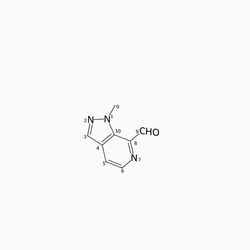 Cn1ncc2ccnc(C=O)c21